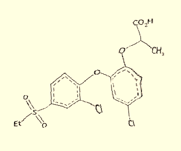 CCS(=O)(=O)c1ccc(Oc2cc(Cl)ccc2OC(C)C(=O)O)c(Cl)c1